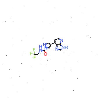 O=C(NCC(F)(F)F)n1cc(-c2ccnc3[nH]cnc23)cn1